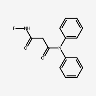 O=C(CC(=O)N(c1ccccc1)c1ccccc1)NF